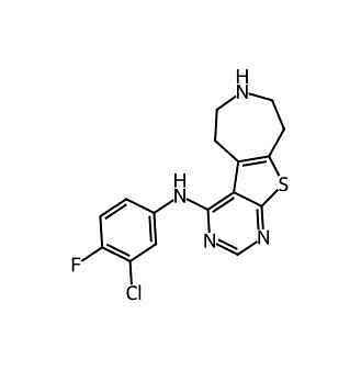 Fc1ccc(Nc2ncnc3sc4c(c23)CCNCC4)cc1Cl